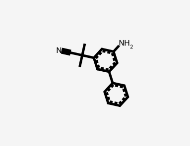 CC(C)(C#N)c1cc(N)cc(-c2ccccc2)c1